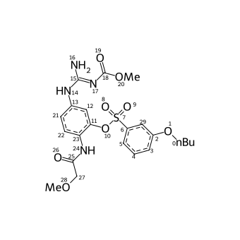 CCCCOc1cccc(S(=O)(=O)Oc2cc(NC(N)=NC(=O)OC)ccc2NC(=O)COC)c1